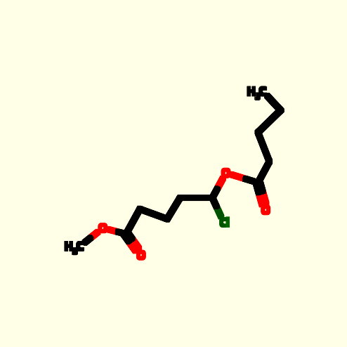 CCCCC(=O)OC(Cl)CCCC(=O)OC